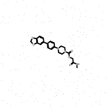 CNC(=O)COC(=O)N1CCN(c2ccc(-c3ccc4c(c3)OCO4)cc2)CC1